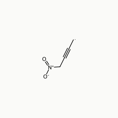 [CH2]C#CC[N+](=O)[O-]